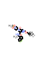 C[C@@H](NC(=O)c1cn(C2CCN(S(C)(=O)=O)CC2)c(=O)c2cn(COCC[Si](C)(C)C)nc12)c1cccc2c1CCC2(F)F